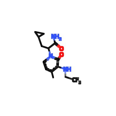 Cc1ccn(C(CC2CC2)C(N)=O)c(=O)c1NCC(F)(F)F